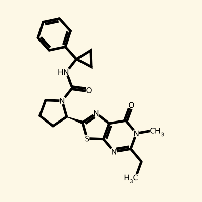 CCc1nc2sc([C@H]3CCCN3C(=O)NC3(c4ccccc4)CC3)nc2c(=O)n1C